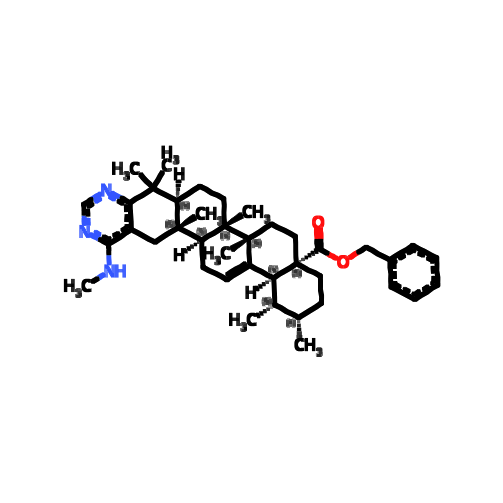 CNc1ncnc2c1C[C@]1(C)[C@H](CC[C@@]3(C)[C@H]1CC=C1[C@@H]4[C@@H](C)[C@@H](C)CC[C@]4(C(=O)OCc4ccccc4)CC[C@]13C)C2(C)C